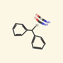 CCC(c1ccccc1)c1ccccc1.N=C=O.N=C=O